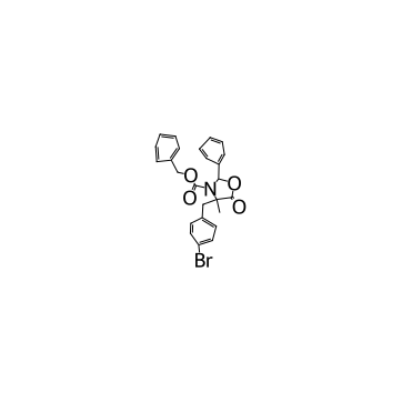 CC1(Cc2ccc(Br)cc2)C(=O)OC(c2ccccc2)N1C(=O)OCc1ccccc1